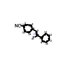 N#Cc1ccc(/C=C(\F)c2ccccc2)cc1